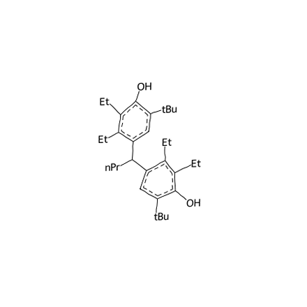 CCCC(c1cc(C(C)(C)C)c(O)c(CC)c1CC)c1cc(C(C)(C)C)c(O)c(CC)c1CC